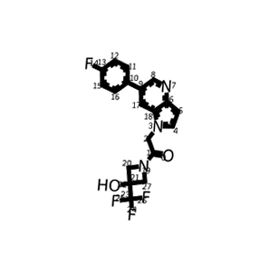 O=C(Cn1ccc2ncc(-c3ccc(F)cc3)cc21)N1CC(O)(C(F)(F)F)C1